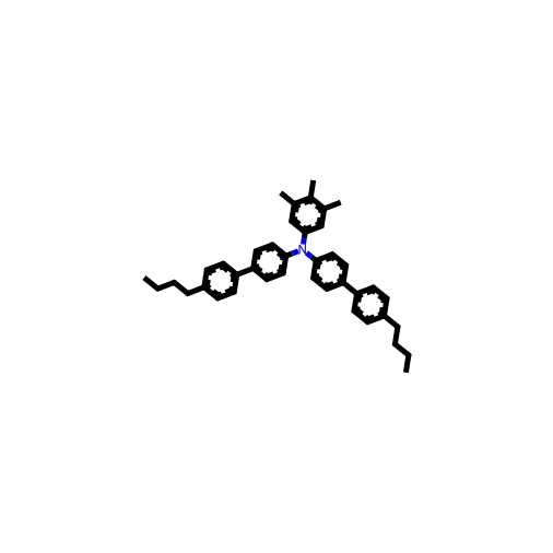 CCCCc1ccc(-c2ccc(N(c3ccc(-c4ccc(CCCC)cc4)cc3)c3cc(C)c(C)c(C)c3)cc2)cc1